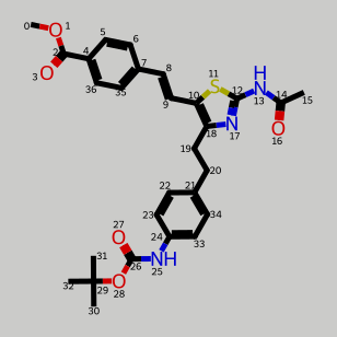 COC(=O)c1ccc(C=Cc2sc(NC(C)=O)nc2CCc2ccc(NC(=O)OC(C)(C)C)cc2)cc1